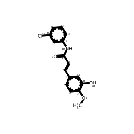 COc1ccc(/C=C/C(=O)Nc2cccc(Cl)c2)cc1O